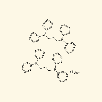 [Au+].[Cl-].c1ccc(P(CCCP(c2ccccc2)c2ccccc2)c2ccccc2)cc1.c1ccc(P(CCCP(c2ccccc2)c2ccccc2)c2ccccc2)cc1